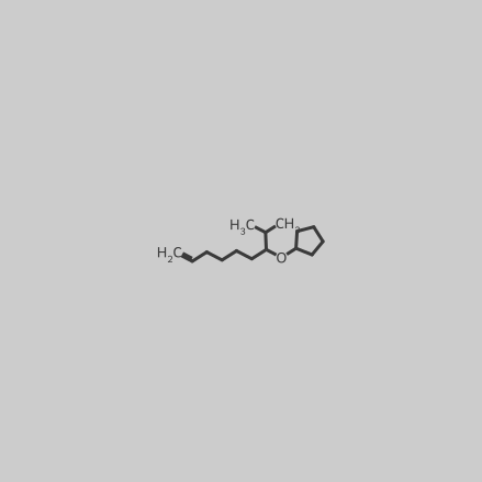 C=CCCCCC(OC1CCCC1)C(C)C